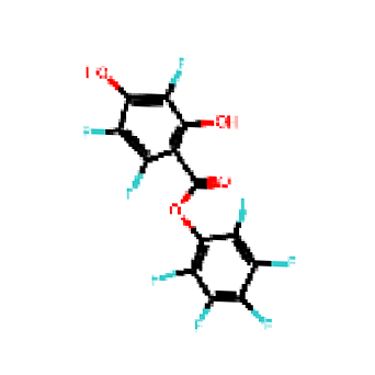 O=C(Oc1c(F)c(F)c(F)c(F)c1F)c1c(O)c(F)c(O)c(F)c1F